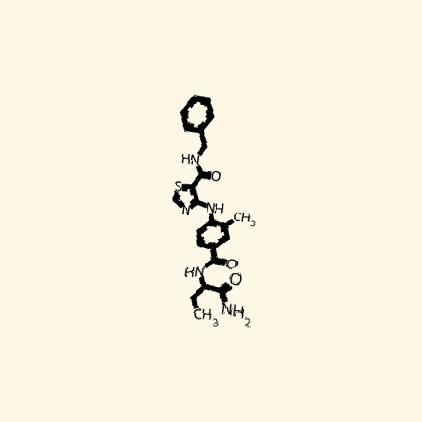 CCC(NC(=O)c1ccc(Nc2ncsc2C(=O)NCc2ccccc2)c(C)c1)C(N)=O